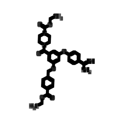 CCOC(=O)c1ccc(COc2cc(Oc3ccc(C(=N)N)cc3)cc(C(=O)N3CCN(C(=O)OCC)CC3)c2)cc1